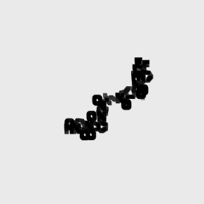 COc1cc2c(cc1NC(=O)c1cccc(C(F)(F)F)n1)CN(CCC(C)(C)C(=O)N1CCN(c3cccc4c3C(=O)N(C3CCC(=O)NC3=O)C4=O)CC1)C2=O